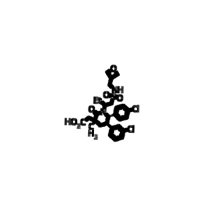 CCC(CS(=O)(=O)NCC1COC1)N1C(=O)[C@@](C)(CC(=O)O)C[C@H](c2cccc(Cl)c2)[C@H]1c1ccc(Cl)cc1